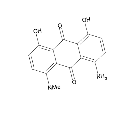 CNc1ccc(O)c2c1C(=O)c1c(N)ccc(O)c1C2=O